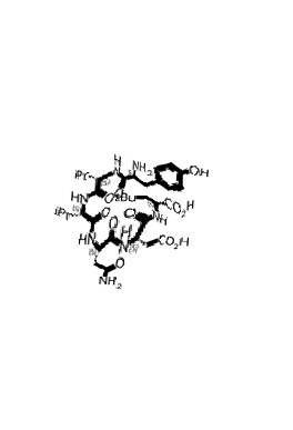 CC(C)[C@H](NC(=O)[C@@H](NC(=O)[C@@H](N)Cc1ccc(O)cc1)C(C)C)C(=O)N[C@@H](CC(N)=O)C(=O)N[C@@H](CC(=O)O)C(=O)N[C@@H](CC(C)(C)C)C(=O)O